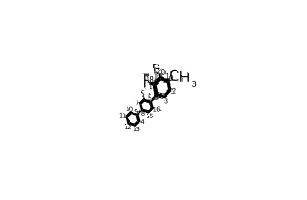 Cc1ccc(-c2ccc(-c3ccccc3)cc2)c(F)c1F